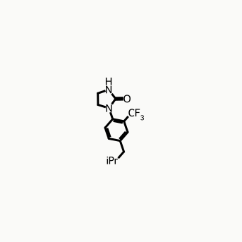 CC(C)Cc1ccc(N2CCNC2=O)c(C(F)(F)F)c1